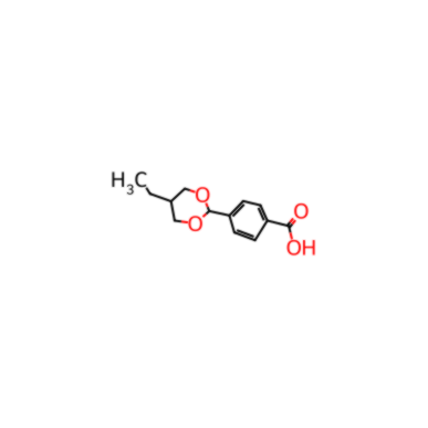 CCC1COC(c2ccc(C(=O)O)cc2)OC1